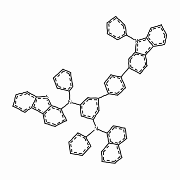 c1ccc(N(c2cc(-c3ccc(-c4ccc5c6ccccc6n(-c6ccccc6)c5c4)cc3)cc(N(c3ccccc3)c3cccc4c3sc3ccccc34)c2)c2cccc3ccccc23)cc1